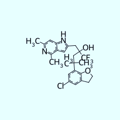 Cc1cc2[nH]c(CC(O)(CC(C)(C)c3cc(Cl)cc4c3OCC4)C(F)(F)F)cc2c(C)n1